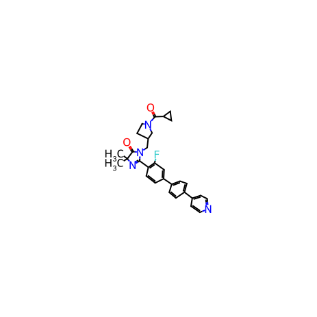 CC1(C)N=C(c2ccc(-c3ccc(-c4ccncc4)cc3)cc2F)N(CC2CCN(C(=O)C3CC3)C2)C1=O